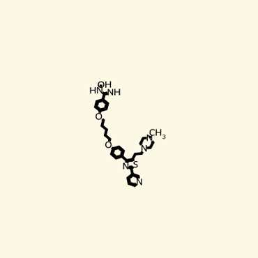 CN1CCN(CCc2sc(-c3cccnc3)nc2-c2ccc(OCCCCCOc3ccc(C(=N)NO)cc3)cc2)CC1